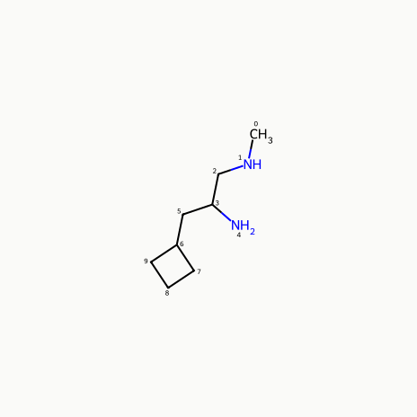 CNCC(N)CC1CCC1